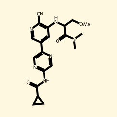 COCC(Nc1cc(-c2cnc(NC(=O)C3CC3)cn2)cnc1C#N)C(=O)N(C)C